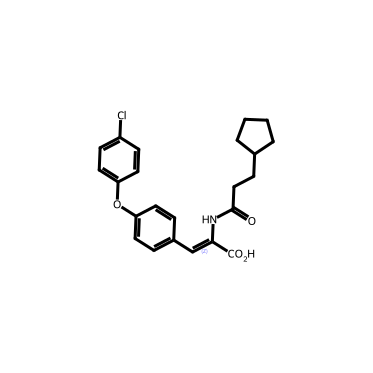 O=C(CCC1CCCC1)N/C(=C\c1ccc(Oc2ccc(Cl)cc2)cc1)C(=O)O